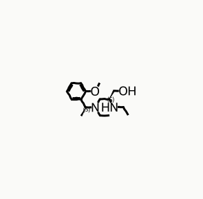 CCN[C@H](CO)CN(CC)[C@@H](C)c1ccccc1OC